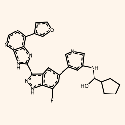 OC(Nc1cncc(-c2cc(F)c3[nH]nc(-c4nc5c(-c6ccoc6)ccnc5[nH]4)c3c2)c1)C1CCCC1